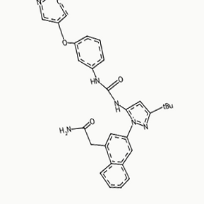 CC(C)(C)c1cc(NC(=O)Nc2cccc(Oc3cccnc3)c2)n(-c2cc(CC(N)=O)c3ccccc3c2)n1